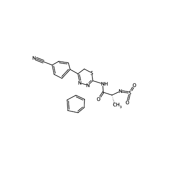 C[C@@H](N=S(=O)=O)C(=O)NC1=NN=C(c2ccc(C#N)cc2)CS1.c1ccccc1